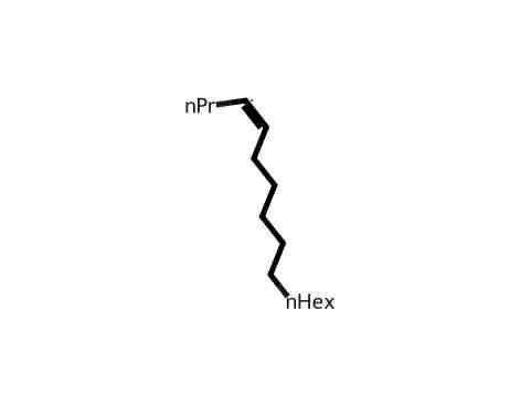 CCC/[C]=C\CCCCCCCCCCC